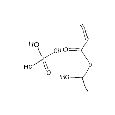 C=CC(=O)OC(C)O.O=P(O)(O)O